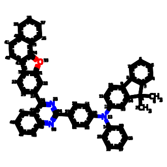 CC1(C)c2ccccc2-c2ccc(N(c3ccccc3)c3ccc(-c4nc(-c5ccc6c(c5)oc5c7ccccc7ccc65)c5ccccc5n4)cc3)cc21